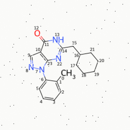 Cc1ccccc1-n1ncc2c(=O)[nH]c(CC3CCCCC3)nc21